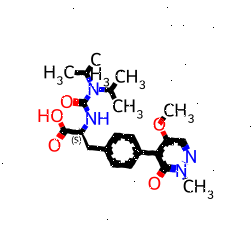 COc1cnn(C)c(=O)c1-c1ccc(C[C@H](NC(=O)N(C(C)C)C(C)C)C(=O)O)cc1